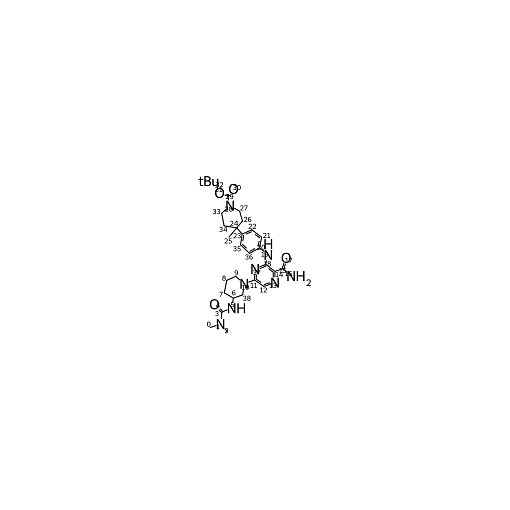 CN(C)C(=O)NC1CCCN(c2cnc(C(N)=O)c(Nc3ccc(C4(C)CCN(C(=O)OC(C)(C)C)CC4)cc3)n2)C1